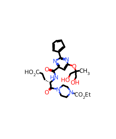 CCOC(=O)N1CCN(C(=O)[C@H](CCC(=O)O)NC(=O)c2cc(OC(C)(CO)CO)nc(-c3ccccc3)n2)CC1